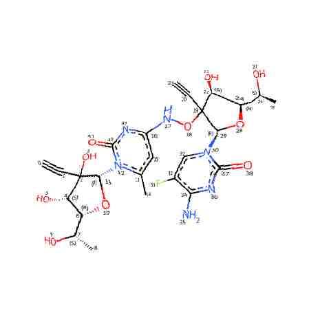 C#CC1(O)[C@@H](O)[C@@H]([C@H](C)O)O[C@H]1n1c(C)cc(NOC2(C#C)[C@@H](O)[C@@H]([C@H](C)O)O[C@H]2n2cc(F)c(N)nc2=O)nc1=O